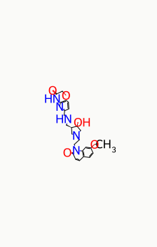 COc1ccc2ccc(=O)n(CCN3C[C@@H](CNCc4ccc5c(n4)NC(=O)CO5)[C@@H](O)C3)c2c1